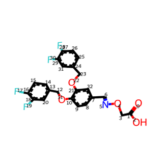 O=C(O)CON=Cc1ccc(OCc2ccc(F)c(F)c2)c(OCc2ccc(F)c(F)c2)c1